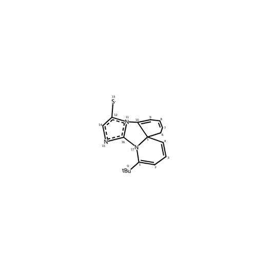 CC(C)(C)C1=CC=CC23CC=CC=C2n2c([S])cnc2N13